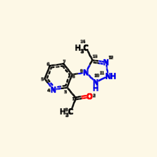 CC(=O)c1ncccc1N1NNN=C1C